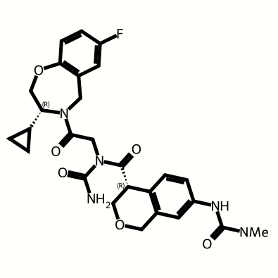 CNC(=O)Nc1ccc2c(c1)COC[C@@H]2C(=O)N(CC(=O)N1Cc2cc(F)ccc2OC[C@H]1C1CC1)C(N)=O